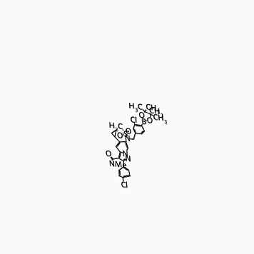 CNC(=O)c1c(-c2ccc(Cl)cc2)nn2cc(N(Cc3ccc(B4OC(C)(C)C(C)(C)O4)c(Cl)c3)S(C)(=O)=O)c(C3CC3)cc12